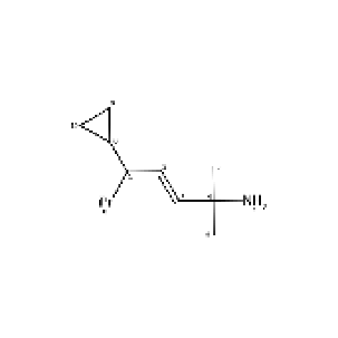 CC(C)C(C=CC(C)(C)N)C1CC1